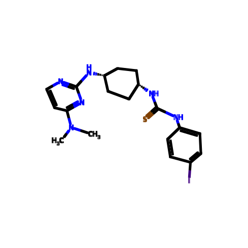 CN(C)c1ccnc(N[C@H]2CC[C@@H](NC(=S)Nc3ccc(I)cc3)CC2)n1